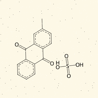 Cc1ccc2c(c1)C(=O)c1ccccc1C2=O.O=S(=O)(O)O